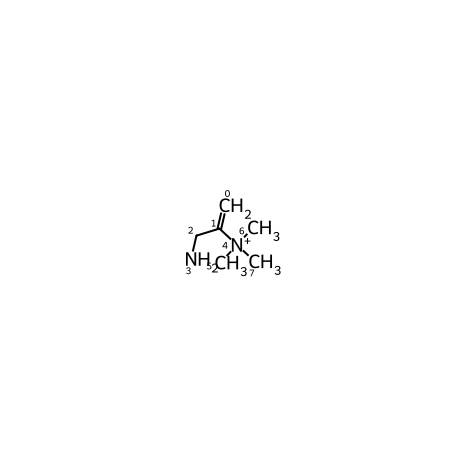 C=C(CN)[N+](C)(C)C